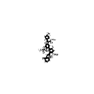 CNC(=O)c1c(-c2ccc(C)cc2)oc2cc(N(C)S(C)(=O)=O)c(-c3nc(-c4cc5c(F)cccc5[nH]4)c(OC)cc3F)cc12